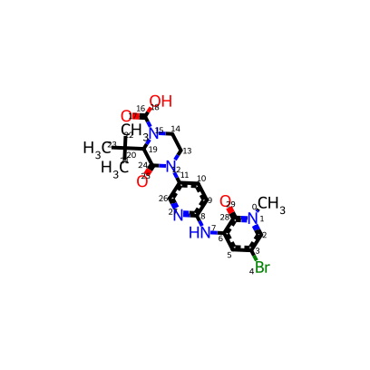 Cn1cc(Br)cc(Nc2ccc(N3CCN(C(=O)O)C(C(C)(C)C)C3=O)cn2)c1=O